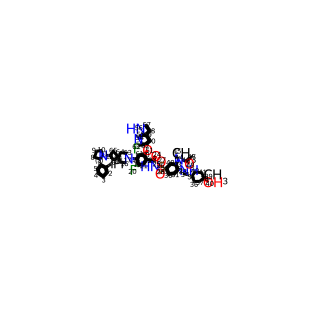 CC(C)c1ccccc1[C@@H]1CCCN1C1CC2(CCN(c3c(F)cc(C(=O)NS(=O)(=O)c4ccc(NC[C@H]5CC[C@](C)(O)CC5)c(N(C)C5CO5)c4)c(Oc4cnc5[nH]ccc5c4)c3F)CC2)C1